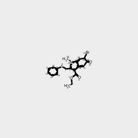 CCOC(=O)c1c(CSc2ccccc2)n(C)c2c1=CC(=O)C(Br)C=2